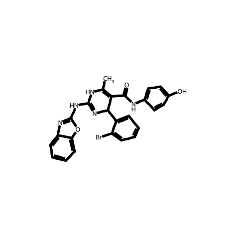 CC1=C(C(=O)Nc2ccc(O)cc2)C(c2ccccc2Br)N=C(Nc2nc3ccccc3o2)N1